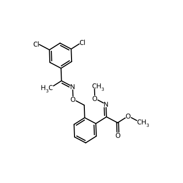 CO/N=C(/C(=O)OC)c1ccccc1CO/N=C(\C)c1cc(Cl)cc(Cl)c1